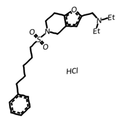 CCN(CC)Cc1cc2c(o1)CCN(S(=O)(=O)CCCCCc1ccccc1)C2.Cl